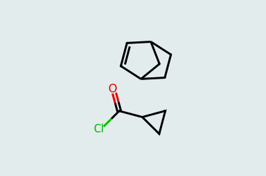 C1=CC2CCC1C2.O=C(Cl)C1CC1